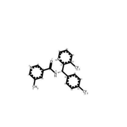 Cc1cncc(C(=O)N[C@@H](c2ccc(C(F)(F)F)cc2)c2ncccc2C(F)(F)F)c1